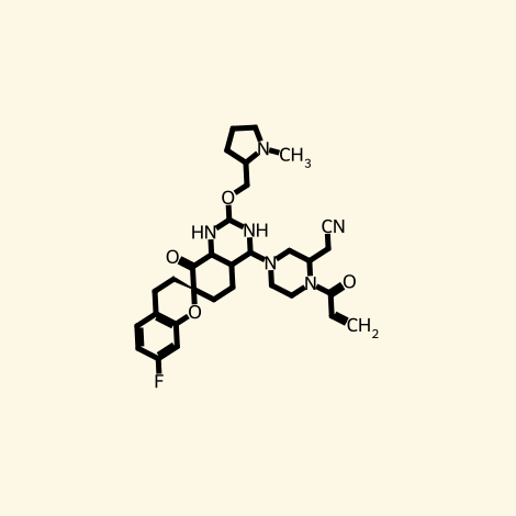 C=CC(=O)N1CCN(C2NC(OCC3CCCN3C)NC3C(=O)[C@]4(CCc5ccc(F)cc5O4)CCC32)CC1CC#N